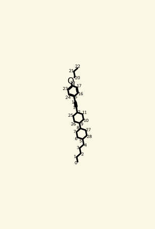 CCCCCC1CCC(C2CCC(C#Cc3ccc(OCCC)cc3)CC2)CC1